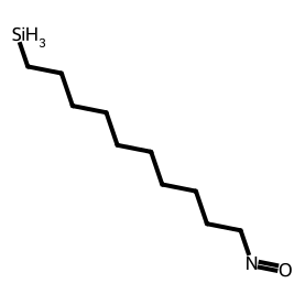 O=NCCCCCCCCCC[SiH3]